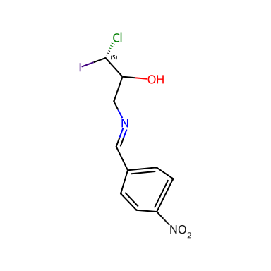 O=[N+]([O-])c1ccc(C=NCC(O)[C@@H](Cl)I)cc1